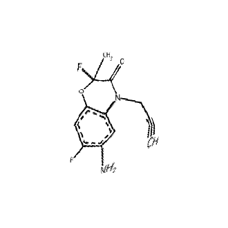 C#CCN1C(=O)C(C)(F)Oc2cc(F)c(N)cc21